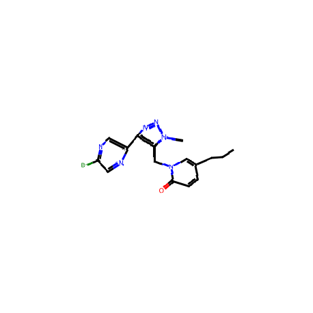 CCCc1ccc(=O)n(Cc2c(-c3cnc(Br)cn3)nnn2C)c1